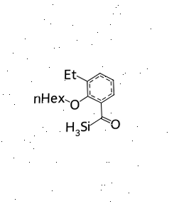 CCCCCCOc1c(CC)cccc1C(=O)[SiH3]